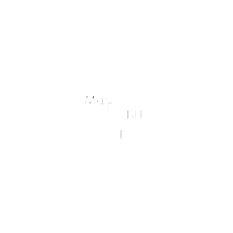 B.[F-].[F-].[Mg+2]